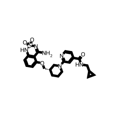 NC1=NS(=O)(=O)Nc2cccc(OC[C@H]3CCCN(c4cc(C(=O)NCC5CC5)ccn4)C3)c21